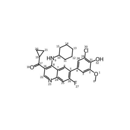 COc1cc(-c2cc3c(NC4CCCCC4)c(C(=O)C4CC4)cnc3cc2F)cc(Cl)c1O